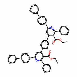 CCOC(=O)c1c(-c2ccc(-c3cc(-c4ccc(-c5ccccc5)cc4)nc(-c4ccccc4)c3C(=O)OCC)cc2)cc(-c2ccc(-c3ccccc3)cc2)nc1-c1ccccc1